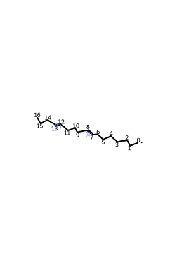 [CH2]CCCCCC/C=C/CCC/C=C/CCC